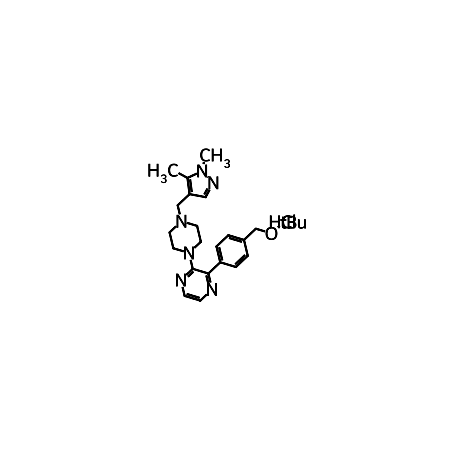 Cc1c(CN2CCN(c3nccnc3-c3ccc(COC(C)(C)C)cc3)CC2)cnn1C.Cl